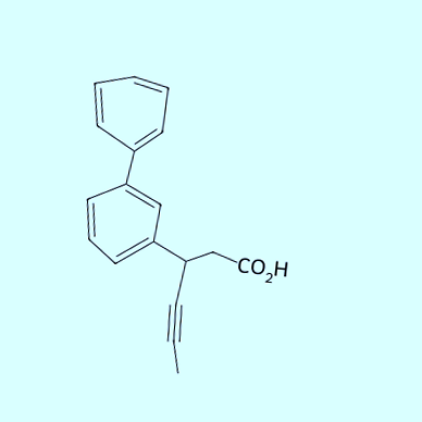 CC#CC(CC(=O)O)c1cccc(-c2ccccc2)c1